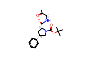 CC(=O)[C@H](C)NC(=O)[C@H]1C[C@@H](c2ccccc2)CN1C(=O)OC(C)(C)C